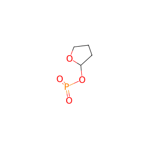 O=P(=O)OC1CCCO1